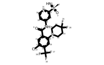 C[S@@](=N)(=O)c1cc(NC(=O)c2cc(Cl)c(C(F)(F)F)cc2N2CCC(F)(F)CC2)ccn1